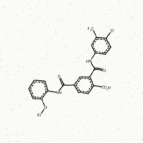 CCOc1ccccc1NC(=O)c1ccc(C(=O)O)c(C(=O)Nc2ccc(Cl)c(C(F)(F)F)c2)c1